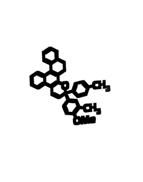 COc1ccc(C2(c3ccc(C)cc3)C=Cc3c(c4c(c5ccccc35)-c3ccccc3CC4)O2)cc1C